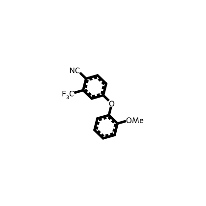 COc1ccccc1Oc1ccc(C#N)c(C(F)(F)F)c1